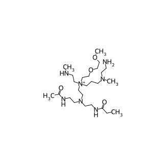 CCC(=O)NCCN(CCNC(C)=O)CC[N+](CCCN(C)CCN)(CCNC)CCOCCOC